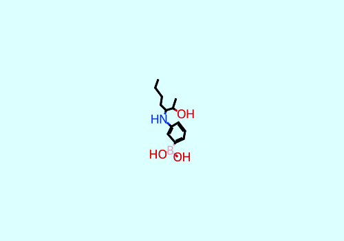 CCCCC(Nc1cccc(B(O)O)c1)C(C)O